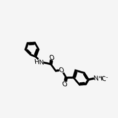 [C-]#[N+]c1ccc(C(=O)OCC(=O)Nc2ccccc2)cc1